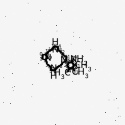 C1=Cc2cc3ccc(cc4nc(cc5ccc(cc1n2)[nH]5)C=C4)[nH]3.Cc1ccc(N)c(C)c1C